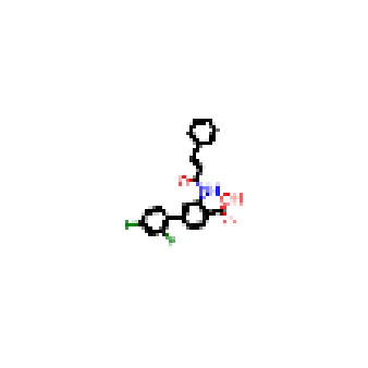 O=C(C=Cc1ccccc1)Nc1cc(-c2ccc(F)cc2F)ccc1C(=O)O